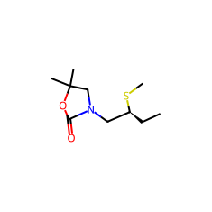 CC[C@@H](CN1CC(C)(C)OC1=O)SC